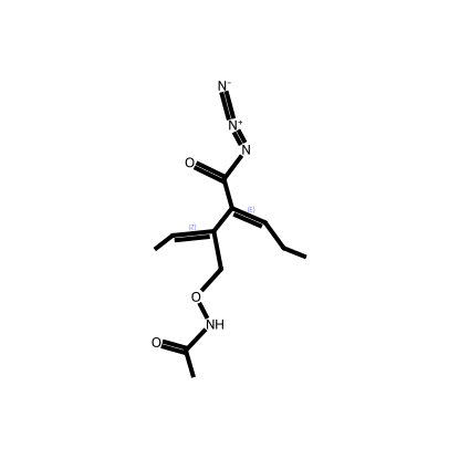 C/C=C(CONC(C)=O)/C(=C\CC)C(=O)N=[N+]=[N-]